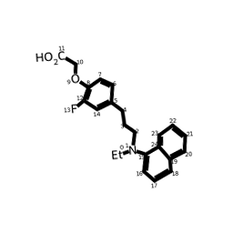 CCN(CCCc1ccc(OCC(=O)O)c(F)c1)c1cccc2ccccc12